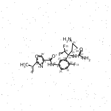 C[C@H](F)c1nc(C(=O)Nc2ccc(F)c([C@](NC(N)=O)(C(F)F)[C@H]3C[C@H]3N)c2)co1